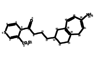 CCOC(=O)C1=CSC=CN1C(=O)CCCC1CCC2=C(C=CC(N)=CC2)C1